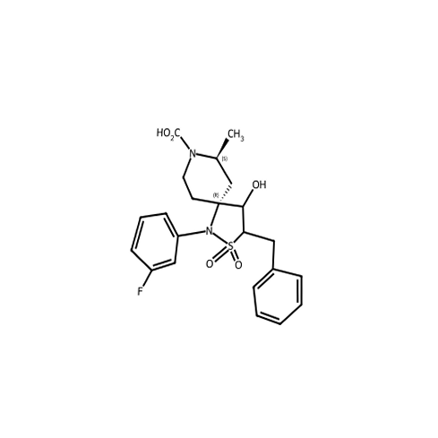 C[C@H]1C[C@]2(CCN1C(=O)O)C(O)C(Cc1ccccc1)S(=O)(=O)N2c1cccc(F)c1